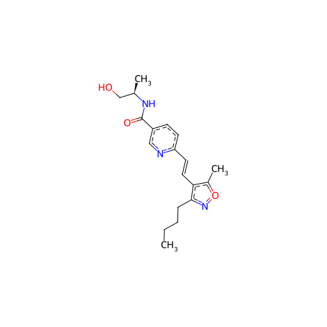 CCCCc1noc(C)c1C=Cc1ccc(C(=O)N[C@H](C)CO)cn1